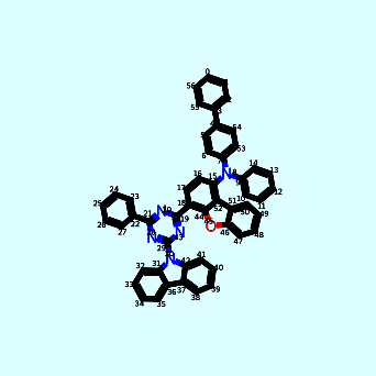 c1ccc(-c2ccc(N(c3ccccc3)c3ccc(-c4nc(-c5ccccc5)nc(-n5c6ccccc6c6ccccc65)n4)c4oc5ccccc5c34)cc2)cc1